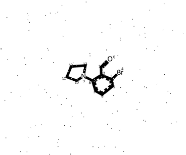 O=Cc1c(Br)cccc1N1CCCC1